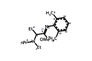 CCCN(CC)C(CC)/C(=N/c1c(C)cccc1C)OC